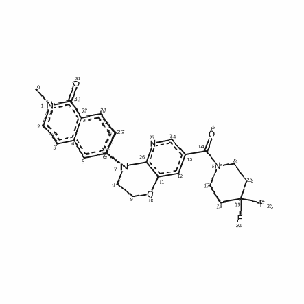 Cn1ccc2cc(N3CCOc4cc(C(=O)N5CCC(F)(F)CC5)cnc43)ccc2c1=O